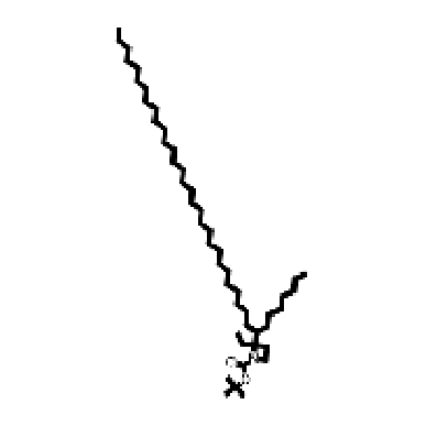 CCCCCCCCCCCCCCCCCCCCCCCCCCCCCCC(CCCCCCC)C1(CC)CCN1C(=O)OC(C)(C)C